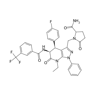 CCN1C(=O)[C@@H](NC(=O)c2cccc(C(F)(F)F)c2)[C@@H](c2ccc(F)cc2)c2c(CN3C(=O)CCC3C(N)=O)nn(-c3ccccc3)c21